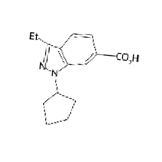 CCc1nn(C2CCCC2)c2cc(C(=O)O)ccc12